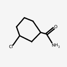 NC(=O)C1[CH]C(Cl)CCC1